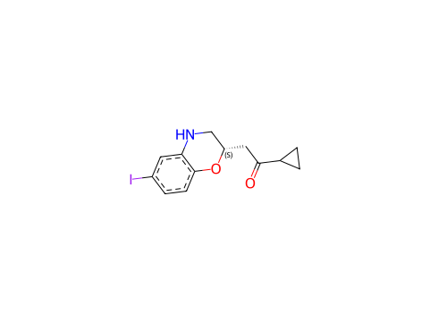 O=C(C[C@H]1CNc2cc(I)ccc2O1)C1CC1